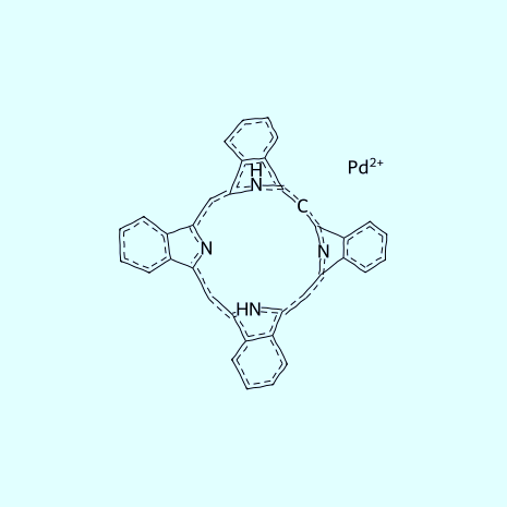 [Pd+2].c1ccc2c(c1)-c1cc3[nH]c(cc4nc(cc5[nH]c(cc-2n1)c1ccccc51)-c1ccccc1-4)c1ccccc31